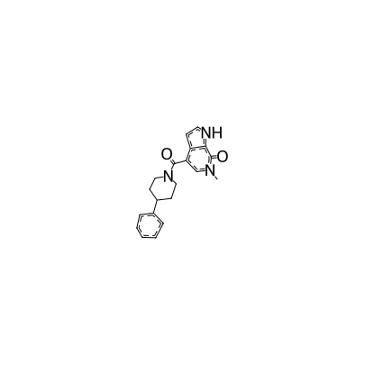 Cn1cc(C(=O)N2CCC(c3ccccc3)CC2)c2cc[nH]c2c1=O